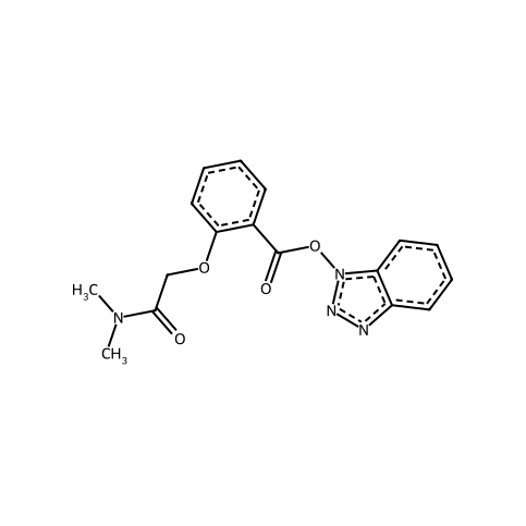 CN(C)C(=O)COc1ccccc1C(=O)On1nnc2ccccc21